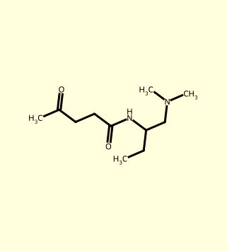 CCC(CN(C)C)NC(=O)CCC(C)=O